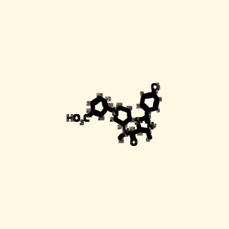 Cc1nc(-c2ccc(Cl)cc2)sc1C(=O)N(C)[C@H]1CCCN(c2cccc(C(=O)O)c2)C1